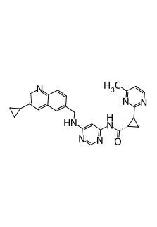 Cc1ccnc(C2C[C@@H]2C(=O)Nc2cc(NCc3ccc4ncc(C5CC5)cc4c3)ncn2)n1